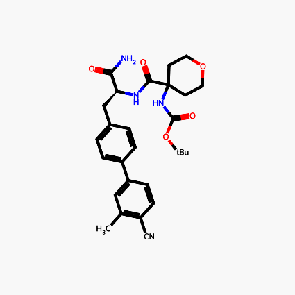 Cc1cc(-c2ccc(C[C@H](NC(=O)C3(NC(=O)OC(C)(C)C)CCOCC3)C(N)=O)cc2)ccc1C#N